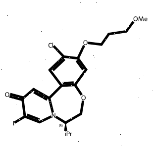 COCCCOc1cc2c(cc1Cl)-c1cc(=O)c(I)cn1[C@H](C(C)C)CO2